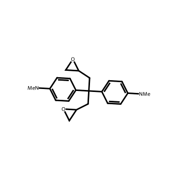 CNc1ccc(C(CC2CO2)(CC2CO2)c2ccc(NC)cc2)cc1